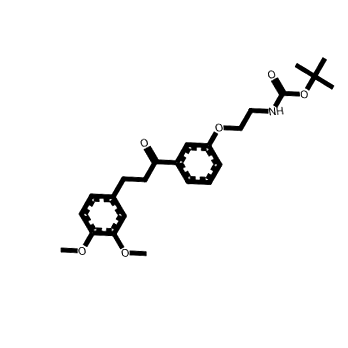 COc1ccc(CCC(=O)c2cccc(OCCNC(=O)OC(C)(C)C)c2)cc1OC